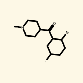 CN1CCC(C(=O)C2CC(F)CCC2Br)CC1